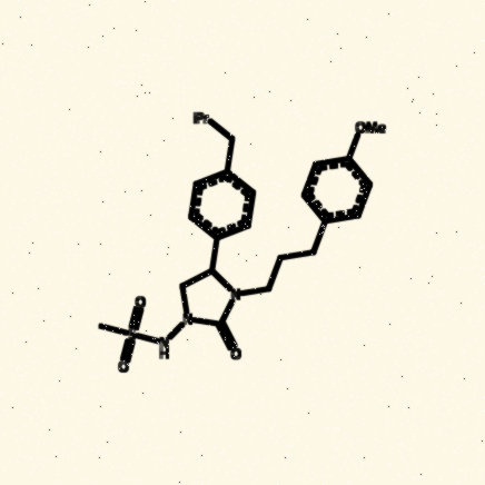 COc1ccc(CCCN2C(=O)N(NS(C)(=O)=O)CC2c2ccc(CC(C)C)cc2)cc1